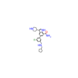 NC(=O)c1cc(-c2cc(F)cc(CNCC3CCCC3)c2)cc2c(C3CCNCC3)c[nH]c12